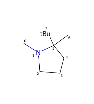 CN1CCCC1(C)C(C)(C)C